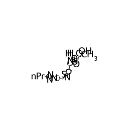 CCCc1cnc(N2CCC(Cc3nc4ccc(C5=CC(S(=O)(=O)CCCC(C)(C)O)NCC5)cc4s3)CC2)nc1